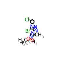 C[C@H]1CN(C(=O)OC(C)(C)C)CCN1c1ncnc2c1c(Br)cn2-c1cccc(Cl)c1